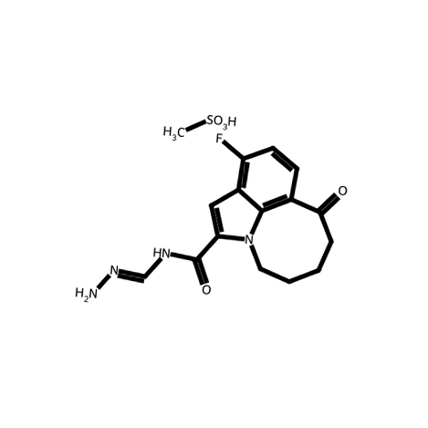 CS(=O)(=O)O.NN=CNC(=O)c1cc2c(F)ccc3c2n1CCCCC3=O